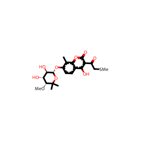 CO[C@@H]1[C@H](O)[C@@H](O)[C@H](Oc2ccc3c(O)c(C(=O)CSC)c(=O)oc3c2C)OC1(C)C